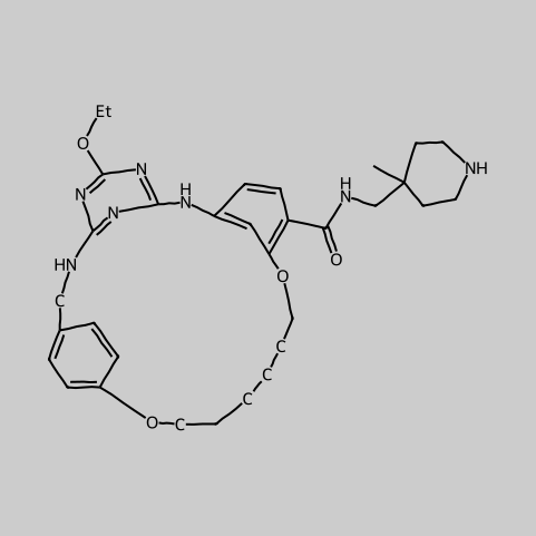 CCOc1nc2nc(n1)Nc1ccc(C(=O)NCC3(C)CCNCC3)c(c1)OCCCCCCOc1ccc(cc1)CN2